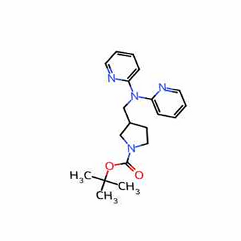 CC(C)(C)OC(=O)N1CCC(CN(c2ccccn2)c2ccccn2)C1